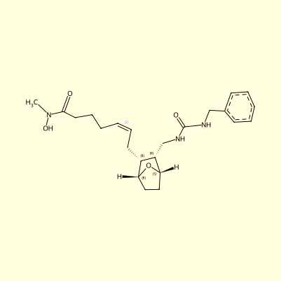 CN(O)C(=O)CCC/C=C\C[C@@H]1[C@H](CNC(=O)NCc2ccccc2)[C@@H]2CC[C@H]1O2